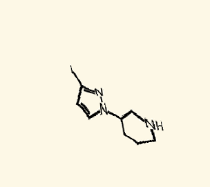 Ic1ccn(C2CCCNC2)n1